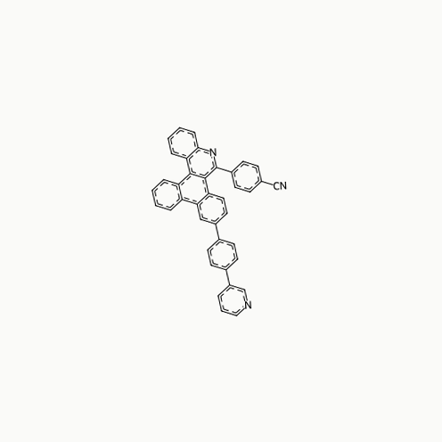 N#Cc1ccc(-c2nc3ccccc3c3c4ccccc4c4cc(-c5ccc(-c6cccnc6)cc5)ccc4c23)cc1